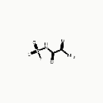 NC(=O)C(=O)NS(=O)(=O)F